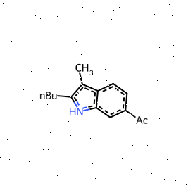 CCCCc1[nH]c2cc(C(C)=O)ccc2c1C